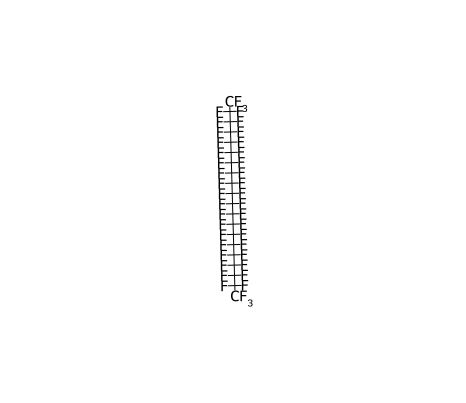 FC(F)(F)C(F)(F)C(F)(F)C(F)(F)C(F)(F)C(F)(F)C(F)(F)C(F)(F)C(F)(F)C(F)(F)C(F)(F)C(F)(F)C(F)(F)C(F)(F)C(F)(F)C(F)(F)C(F)(F)C(F)(F)C(F)(F)C(F)(F)F